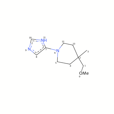 COCC1(C)CCN(c2cnc[nH]2)CC1